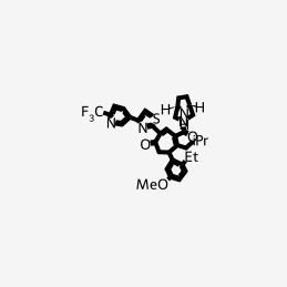 CCc1ccc(OC)cc1C1CC(=O)C(c2nc(-c3ccc(C(F)(F)F)nc3)cs2)=CC(C(=O)N2C[C@H]3CC[C@@H](C2)N3)=C1CC(C)C